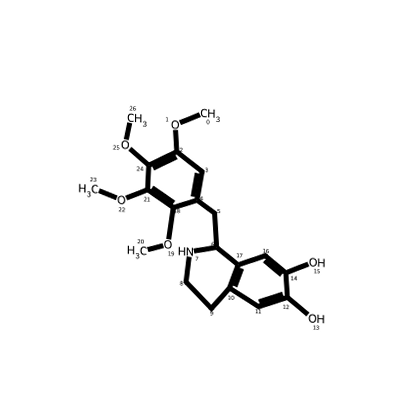 COc1cc(CC2NCCc3cc(O)c(O)cc32)c(OC)c(OC)c1OC